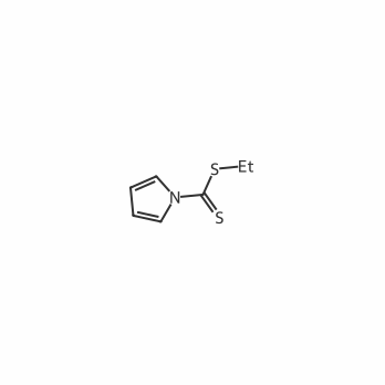 CCSC(=S)n1cccc1